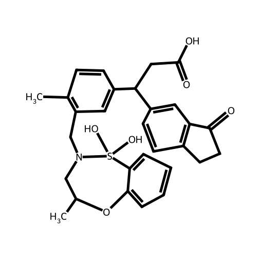 Cc1ccc(C(CC(=O)O)c2ccc3c(c2)C(=O)CC3)cc1CN1CC(C)Oc2ccccc2S1(O)O